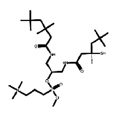 COP(=O)(CCC[N+](C)(C)C)O[C@@H](CNC(=O)CC(C)(C)CC(C)(C)C)CNC(=O)C[C@](C)(S)CC(C)(C)C